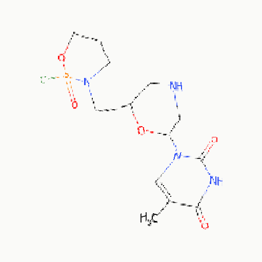 Cc1cn(C2CNCC(CN3CCCOP3(=O)Cl)O2)c(=O)[nH]c1=O